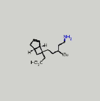 CCC(C)C(CCN)CC[C@@]1(CC(=O)O)C[C@@H]2CC=C[C@@H]21